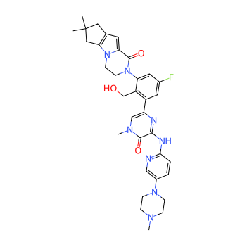 CN1CCN(c2ccc(Nc3nc(-c4cc(F)cc(N5CCn6c(cc7c6CC(C)(C)C7)C5=O)c4CO)cn(C)c3=O)nc2)CC1